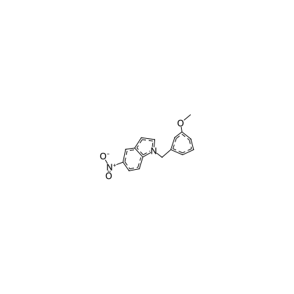 COc1cccc(Cn2ccc3cc([N+](=O)[O-])ccc32)c1